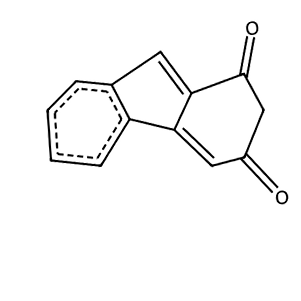 O=C1C=C2C(=Cc3ccccc32)C(=O)C1